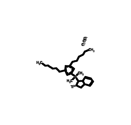 CCCCCCc1cc(CCCCCC)cc([Si](C)(C)C2[CH]([Ti+3])CC3C=CC=CC32)c1.[Cl-].[Cl-].[Cl-]